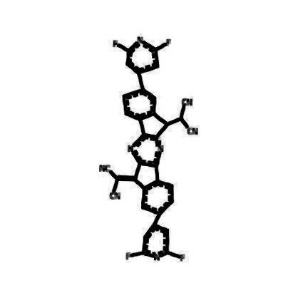 N#CC(C#N)=C1c2cc(-c3cc(F)nc(F)c3)ccc2-c2nc3c(nc21)-c1ccc(-c2cc(F)nc(F)c2)cc1C3C(C#N)C#N